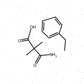 CC(C)(C(N)=O)C(=O)O.CCc1ccccc1